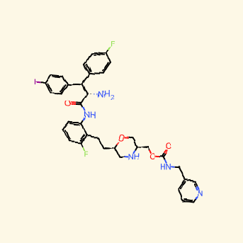 N[C@H](C(=O)Nc1cccc(F)c1CC[C@@H]1CN[C@H](COC(=O)NCc2cccnc2)CO1)C(c1ccc(F)cc1)c1ccc(I)cc1